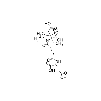 CCN(C(=O)CCCC(=O)NC(CCC(=O)O)C(=O)O)[C@](CC)(C(=O)O)C(CC)(CC)CC(=O)O